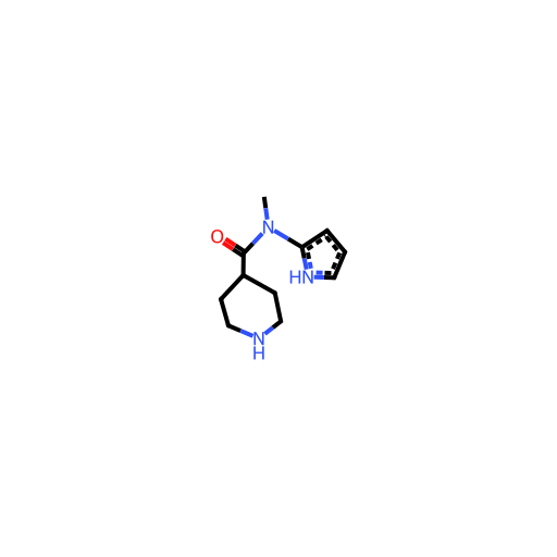 CN(C(=O)C1CCNCC1)c1ccc[nH]1